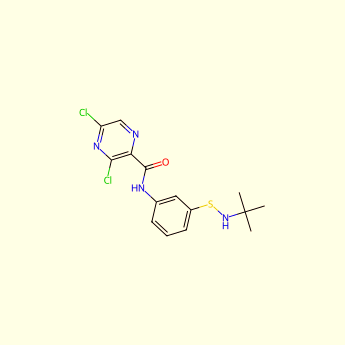 CC(C)(C)NSc1cccc(NC(=O)c2ncc(Cl)nc2Cl)c1